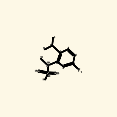 CC(C)c1ccc(F)cc1N(C)S(C)(=O)=O